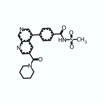 CS(=O)(=O)NC(=O)c1ccc(-c2cncc3ncc(C(=O)N4CCCCC4)cc23)cc1